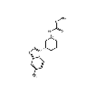 CC(C)(C)OC(=O)N[C@@H]1CCC[C@H](c2nnc3cc(C(F)(F)F)ccn23)C1